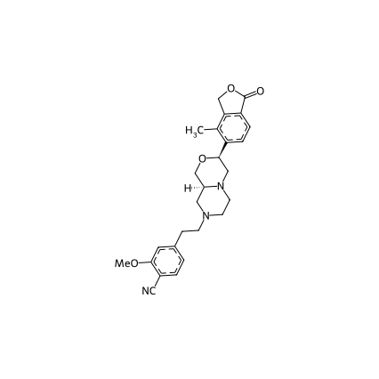 COc1cc(CCN2CCN3C[C@H](c4ccc5c(c4C)COC5=O)OC[C@@H]3C2)ccc1C#N